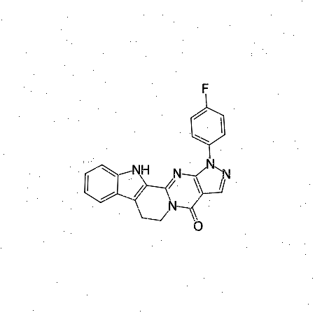 O=c1c2cnn(-c3ccc(F)cc3)c2nc2n1CCc1c-2[nH]c2ccccc12